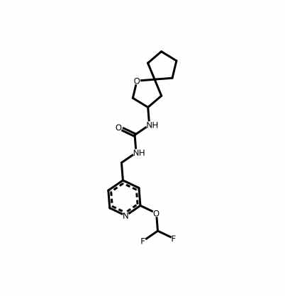 O=C(NCc1ccnc(OC(F)F)c1)NC1COC2(CCCC2)C1